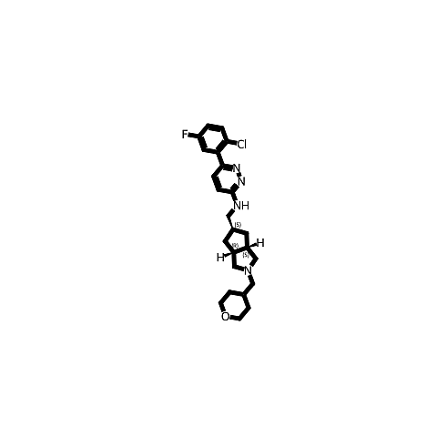 Fc1ccc(Cl)c(-c2ccc(NC[C@H]3C[C@@H]4CN(CC5CCOCC5)C[C@@H]4C3)nn2)c1